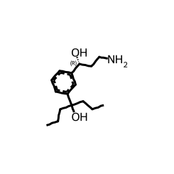 CCCC(O)(CCC)c1cccc([C@H](O)CCN)c1